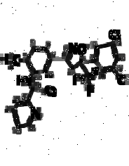 Cc1ccc(C2=NOC(c3cc(Cl)cc(Cl)c3)(C(F)(F)F)C2)cc1NC(=O)c1ccccn1